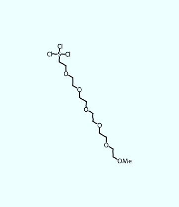 COCCOCCOCCOCCOCCOCCS(Cl)(Cl)Cl